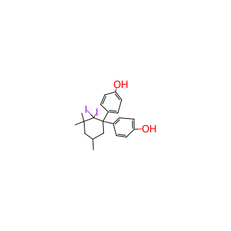 CC1CC(C)(C)C(I)(I)C(c2ccc(O)cc2)(c2ccc(O)cc2)C1